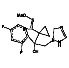 CON=C(C(C)C)C1(C(O)(CN2CN=CN2)c2ccc(F)cc2F)CC1